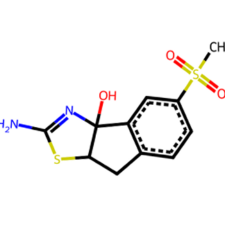 CS(=O)(=O)c1ccc2c(c1)C1(O)N=C(N)SC1C2